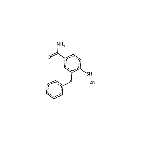 NC(=O)c1ccc(S)c(Sc2ccccc2)c1.[Zn]